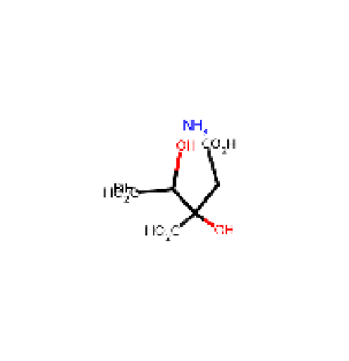 N.O=C(O)CC(O)(C(=O)O)C(O)C(=O)O.[BiH3]